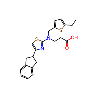 CCc1ccc(CN(CCC(=O)O)c2nc(C3Cc4ccccc4C3)cs2)s1